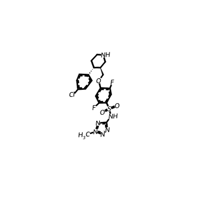 Cn1nnc(NS(=O)(=O)c2cc(F)c(OC[C@@H]3CNCC[C@H]3c3ccc(Cl)cc3)cc2F)n1